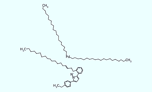 CCCCCCCCCCCCCCCC=CCCc1ccccc1C1=CC=C(c2ccc(CC)cc2)[N+]1=[N-].CCCCCCCCCCCCCCCCCCC[CH2][Pd][CH2]CCCCCCCCCCCCCCCCCCC